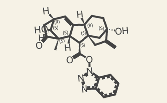 C=C1C[C@]23C[C@@]1(O)CC[C@H]2C1=C[C@H]2CC(=O)[C@@](C)([C@H]1[C@@H]3C(=O)On1nnc3ccccc31)[C@H]2O